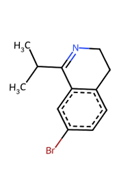 CC(C)C1=NCCc2ccc(Br)cc21